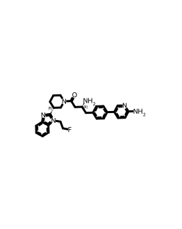 Nc1ccc(-c2ccc(C[C@@H](N)CC(=O)N3CCC[C@@H](c4nc5ccccc5n4CCF)C3)cc2)cn1